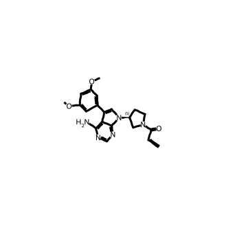 C=CC(=O)N1CC[C@H](n2cc(-c3cc(OC)cc(OC)c3)c3c(N)ncnc32)C1